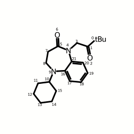 CC(C)(C)C(=O)CN1C(=O)CCN(C2CCCCC2)c2ccccc21